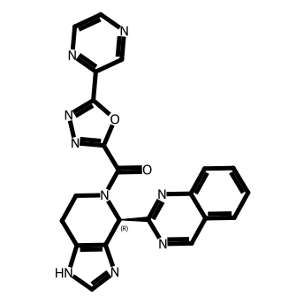 O=C(c1nnc(-c2cnccn2)o1)N1CCc2[nH]cnc2[C@@H]1c1ncc2ccccc2n1